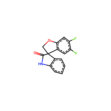 O=C1Nc2ccccc2C12COc1cc(F)c(F)cc12